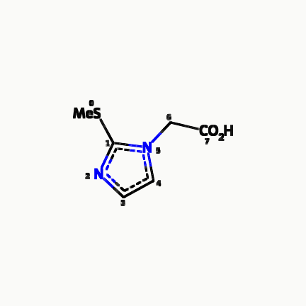 CSc1nccn1CC(=O)O